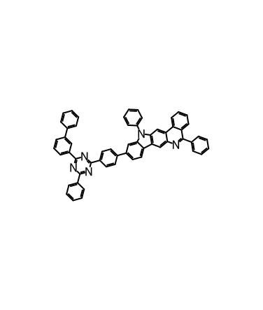 c1ccc(-c2cccc(-c3nc(-c4ccccc4)nc(-c4ccc(-c5ccc6c7cc8nc(-c9ccccc9)c9ccccc9c8cc7n(-c7ccccc7)c6c5)cc4)n3)c2)cc1